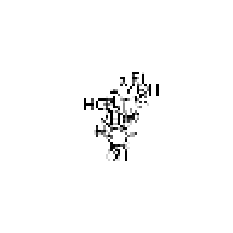 CC[C@]1(O)CC[C@H]2[C@@H]3[C@@H](O)C[C@H]4C[C@H](O)CC[C@]4(C)[C@H]3CC[C@@]21C